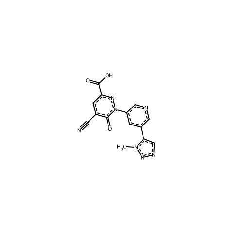 Cn1nncc1-c1cncc(-n2nc(C(=O)O)cc(C#N)c2=O)c1